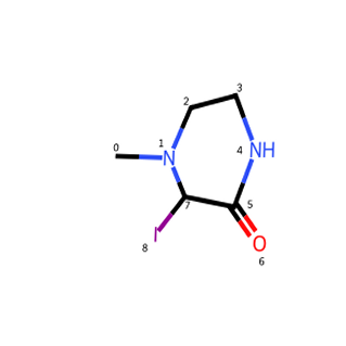 CN1CCNC(=O)C1I